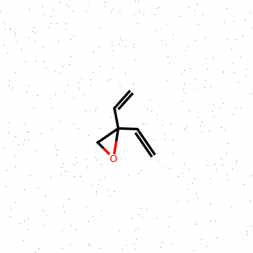 C=CC1(C=C)CO1